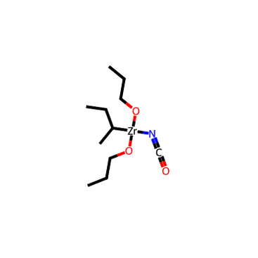 CCC[O][Zr]([N]=C=O)([O]CCC)[CH](C)CC